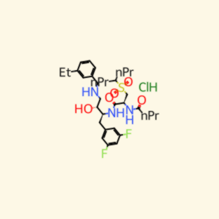 CCCC(=O)N[C@H](CS(=O)(=O)C(CCC)CCC)C(=O)N[C@@H](Cc1cc(F)cc(F)c1)[C@H](O)CNCc1cccc(CC)c1.Cl